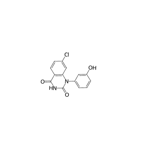 O=c1[nH]c(=O)n(-c2cccc(O)c2)c2cc(Cl)ccc12